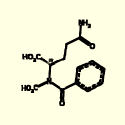 NC(=O)CC[C@@H](C(=O)O)N(C(=O)O)C(=O)c1ccccc1